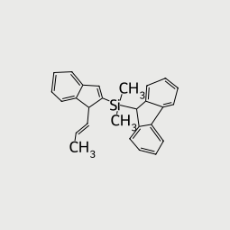 CC=CC1C([Si](C)(C)C2c3ccccc3-c3ccccc32)=Cc2ccccc21